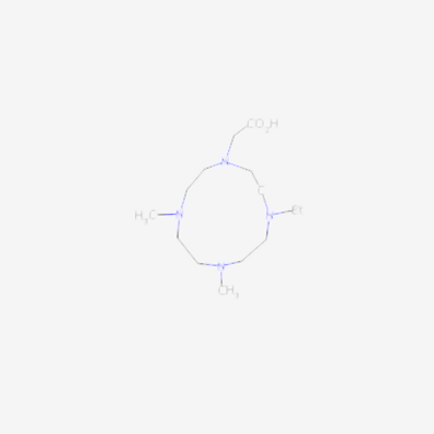 CCN1CCN(C)CCN(C)CCN(CC(=O)O)CC1